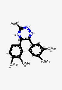 COc1ccc(-c2nnc(SC)nc2-c2ccc(OC)c(OC)c2)cc1OC